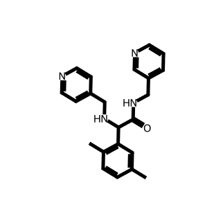 Cc1ccc(C)c(C(NCc2ccncc2)C(=O)NCc2cccnc2)c1